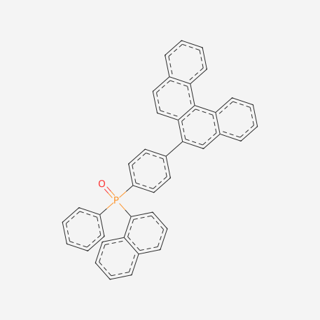 O=P(c1ccccc1)(c1ccc(-c2cc3ccccc3c3c2ccc2ccccc23)cc1)c1cccc2ccccc12